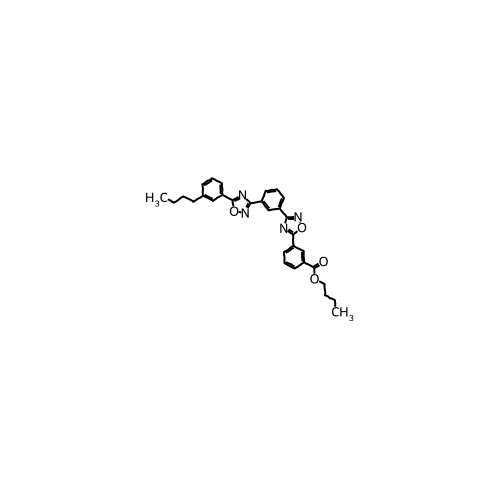 CCCCOC(=O)c1cccc(-c2nc(-c3cccc(-c4noc(-c5cccc(CCCC)c5)n4)c3)no2)c1